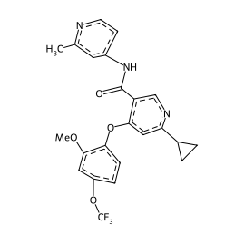 COc1cc(OC(F)(F)F)ccc1Oc1cc(C2CC2)ncc1C(=O)Nc1ccnc(C)c1